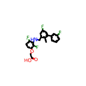 Cc1c(CNc2c(F)ccc(OCC(=O)O)c2F)cc(F)cc1-c1cccc(F)c1